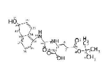 CC(C)(C)OC(=O)CCC(NC(=O)Nc1cccc2cc(O)ccc12)C(=O)O